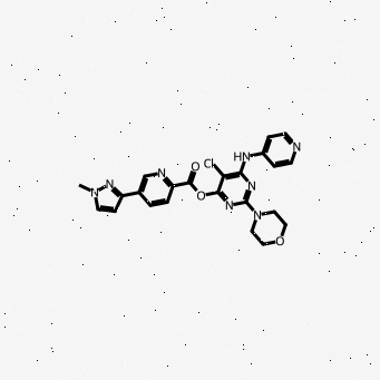 Cn1ccc(-c2ccc(C(=O)Oc3nc(N4CCOCC4)nc(Nc4ccncc4)c3Cl)nc2)n1